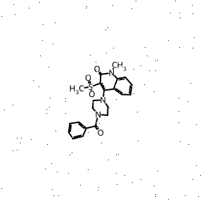 Cn1c(=O)c(S(C)(=O)=O)c(N2CCN(C(=O)c3ccccc3)CC2)c2ccccc21